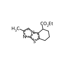 CCOC(=O)C1CCCc2sc3nc(C)cn3c21